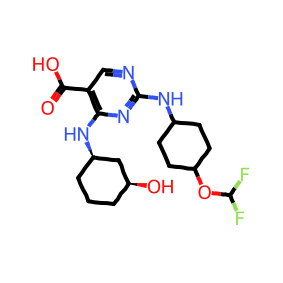 O=C(O)c1cnc(NC2CCC(OC(F)F)CC2)nc1N[C@@H]1CCC[C@H](O)C1